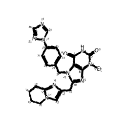 CCn1c(=O)[nH]c(=O)c2c1nc(Cc1cn3c(n1)CCCC3)n2Cc1ccc(-n2cncn2)cc1